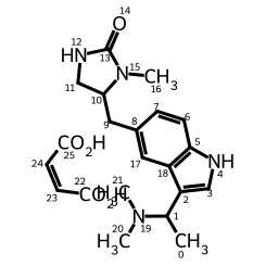 CC(c1c[nH]c2ccc(CC3CNC(=O)N3C)cc12)N(C)C.O=C(O)/C=C\C(=O)O